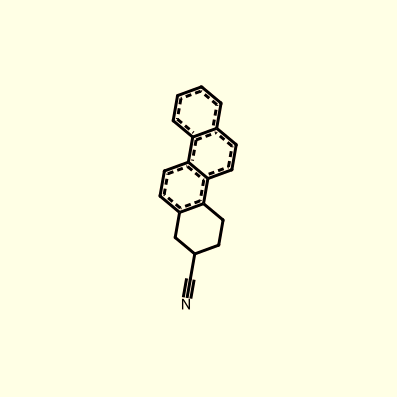 N#CC1CCc2c(ccc3c2ccc2ccccc23)C1